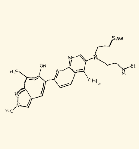 CCNCCN(CCSC)c1cnc2nc(-c3cc4cn(C)nc4c(C)c3O)ccc2c1C